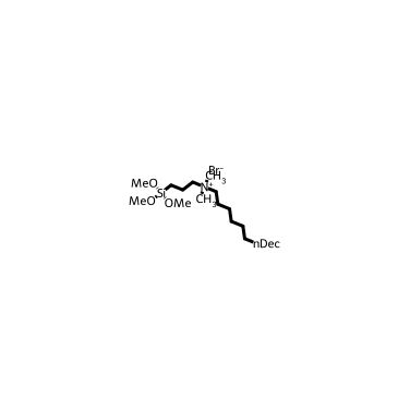 CCCCCCCCCCCCCCCC[N+](C)(C)CCC[Si](OC)(OC)OC.[Br-]